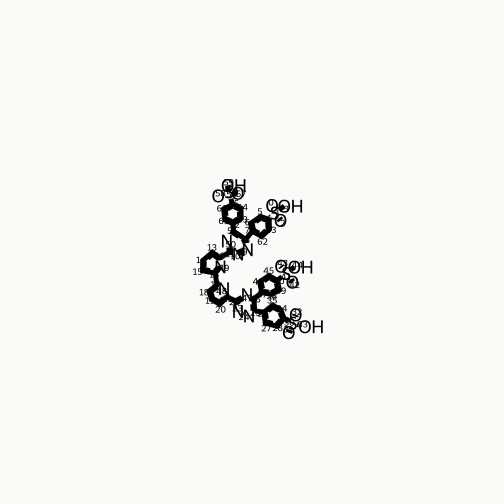 O=S(=O)(O)c1ccc(-c2nnc(-c3cccc(-c4cccc(-c5nnc(-c6ccc(S(=O)(=O)O)cc6)c(-c6ccc(S(=O)(=O)O)cc6)n5)n4)n3)nc2-c2ccc(S(=O)(=O)O)cc2)cc1